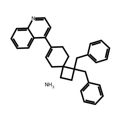 C1=C(c2ccnc3ccccc23)CCC2(C1)CCC2(Cc1ccccc1)Cc1ccccc1.N